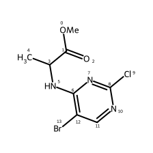 COC(=O)C(C)Nc1nc(Cl)ncc1Br